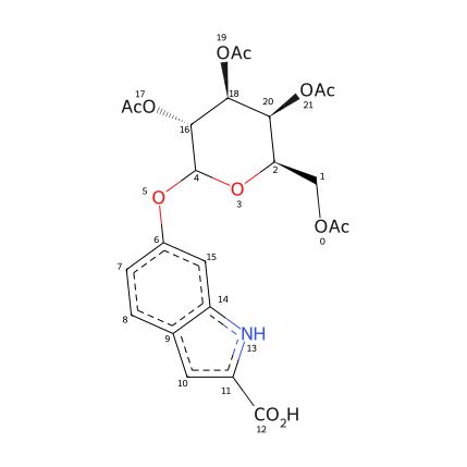 CC(=O)OC[C@H]1OC(Oc2ccc3cc(C(=O)O)[nH]c3c2)[C@H](OC(C)=O)[C@@H](OC(C)=O)[C@H]1OC(C)=O